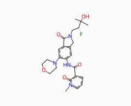 Cn1cccc(C(=O)Nc2cc3c(cc2N2CCOCC2)C(=O)N(C[C@@H](F)C(C)(C)O)C3)c1=O